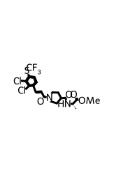 COC(=O)[C@H](C)NC(=O)C1CCN(C(=O)/C=C/c2ccc(SC(F)(F)F)c(Cl)c2Cl)CC1